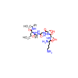 CC(C)[C@H](NC(=O)[C@H](CCC(=O)O)NC(=O)[C@@H](NC(=O)CNC(=O)[C@H](CO)NC(=O)[C@H](CO)NC(=O)[C@@H](N)CCCCN)C(C)C)C(=O)O